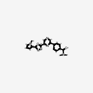 CN(C)C(=O)c1ccc(-c2cncc(-c3nnc(-c4cccn4C)o3)n2)cc1